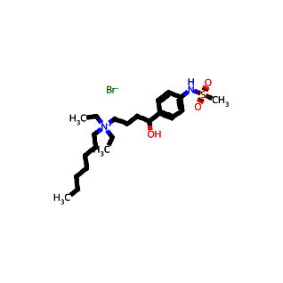 CCCCCCC[N+](CC)(CC)CCCC(O)c1ccc(NS(C)(=O)=O)cc1.[Br-]